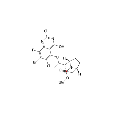 C[C@H](Oc1c(Cl)c(Br)c(F)c2nc(Cl)nc(O)c12)[C@H]1NC[C@H]2CC[C@@H]1N2C(=O)OC(C)(C)C